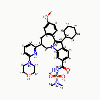 COc1ccc2c(c1)CC(c1cccc(N3CCOCC3)n1)Cn1c-2c(C2CCCCC2)c2ccc(C(=O)NS(=O)(=O)N(C)C)cc21